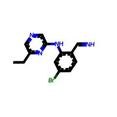 CCc1cncc(Nc2cc(Br)ccc2C=N)n1